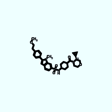 COCCc1ccc(-c2cc3ccc(S(=O)(=O)NC4CCC(C(=O)N5CCOC[C@@H]5C5CC5)CC4)cc3n2C)cc1